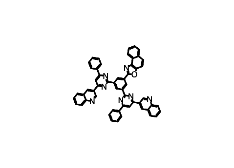 c1ccc(-c2cc(-c3cnc4ccccc4c3)nc(-c3cc(-c4nc(-c5ccccc5)cc(-c5cnc6ccccc6c5)n4)cc(-c4nc5c(ccc6ccccc65)o4)c3)n2)cc1